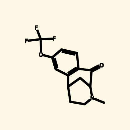 CN1CCC2CC1C(=O)c1ccc(OC(F)(F)F)cc12